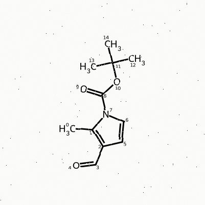 Cc1c(C=O)ccn1C(=O)OC(C)(C)C